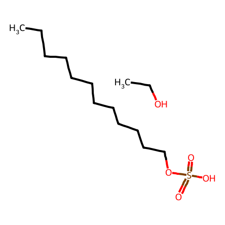 CCCCCCCCCCCCOS(=O)(=O)O.CCO